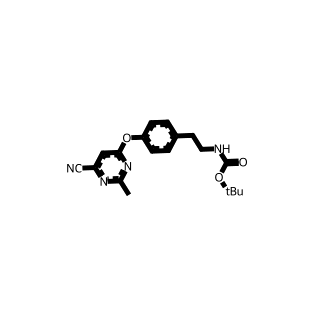 Cc1nc(C#N)cc(Oc2ccc(CCNC(=O)OC(C)(C)C)cc2)n1